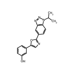 CC(C)n1nnc2cc(-c3ncc(-c4cccc(O)c4)o3)ccc21